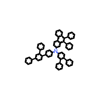 c1ccc(-c2ccc(-c3ccc(N(c4ccc(-c5ccccc5)c(-c5ccccc5)c4)c4ccc5c(c4)c(-c4ccccc4)c(-c4ccccc4)c4ccccc45)cc3)c(-c3ccccc3)c2)cc1